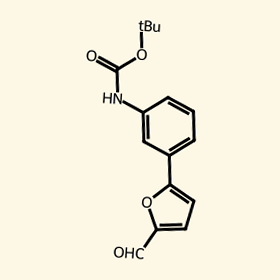 CC(C)(C)OC(=O)Nc1cccc(-c2ccc(C=O)o2)c1